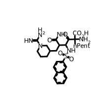 CCCCCC(N)(C(=O)O)C(=O)C(NS(=O)(=O)c1ccc2ccccc2c1)C(CC1CCCN(C(=N)N)C1)C(N)=O